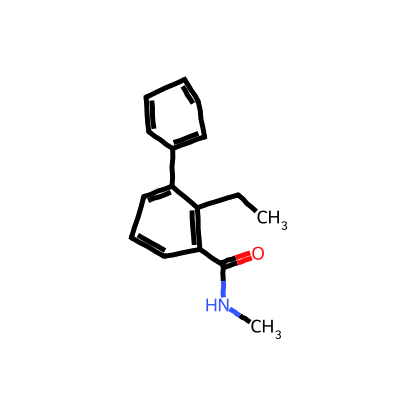 CCc1c(C(=O)NC)cccc1-c1ccccc1